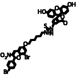 O=C1OC2(c3ccc(O)cc3Oc3cc(O)ccc32)c2ccc(NC(=S)NCCCCCCOc3cc(Br)c4c(c3)C=C([N+](=O)[O-])C(c3ccc(Br)cc3)O4)cc21